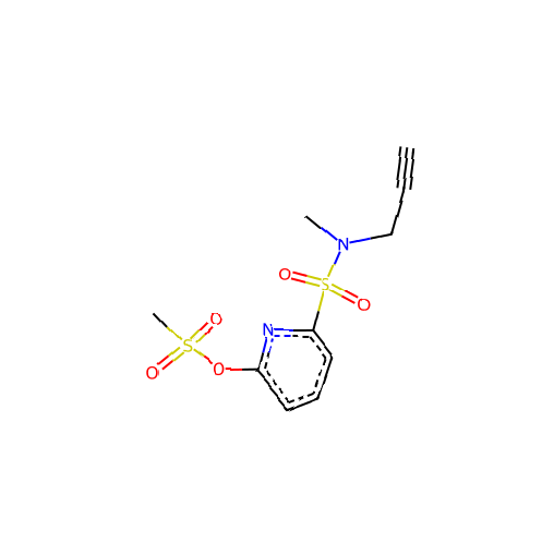 C#CCN(C)S(=O)(=O)c1cccc(OS(C)(=O)=O)n1